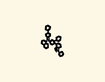 c1ccc(-c2ccc(N(c3ccc(-c4cccc5c4ccn5-c4ccccc4)c(-c4ccccc4)c3)c3cccc4ccccc34)cc2)cc1